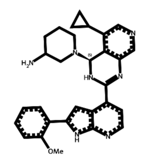 COc1ccccc1-c1cc2c(C3=Nc4cncc(C5CC5)c4[C@H](N4CCCC(N)C4)N3)ccnc2[nH]1